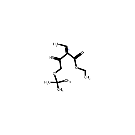 CCOC(=O)/C(=C/N)C(=N)COC(C)(C)C